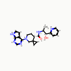 CC(NC(=O)[C@H]1CCN(c2ncnc3[nH]ccc23)CC12CC2)[C@@H](O)c1ccccn1